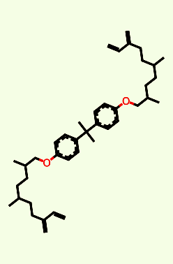 C=CC(=C)CCC(C)CCC(C)COc1ccc(C(C)(C)c2ccc(OCC(C)CCC(C)CCC(=C)C=C)cc2)cc1